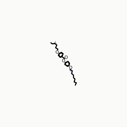 CCCCCCC/C=C/Oc1ccc(OC(=O)c2ccc(OCCC[C@@H](C)CC)cc2)cc1